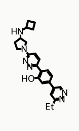 CCc1cc(-c2ccc(-c3ccc(N4CC[C@@H](NC5CCC5)C4)nn3)c(O)c2)cnn1